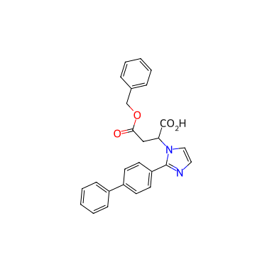 O=C(CC(C(=O)O)n1ccnc1-c1ccc(-c2ccccc2)cc1)OCc1ccccc1